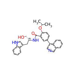 CC(C)Oc1ccc(-c2cncc3ccccc23)cc1C(=O)N[C@@H](CO)Cc1c[nH]c2ccccc12